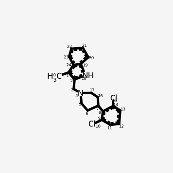 Cc1c(CN2CCC(c3c(Cl)cccc3Cl)CC2)[nH]c2ccccc12